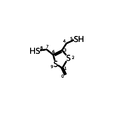 C=C1SC(CS)=C(CS)S1